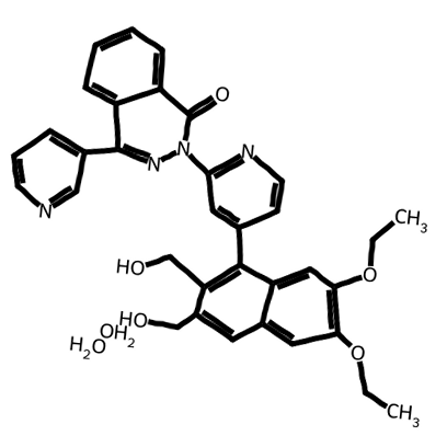 CCOc1cc2cc(CO)c(CO)c(-c3ccnc(-n4nc(-c5cccnc5)c5ccccc5c4=O)c3)c2cc1OCC.O.O